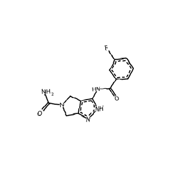 NC(=O)N1Cc2n[nH]c(NC(=O)c3cccc(F)c3)c2C1